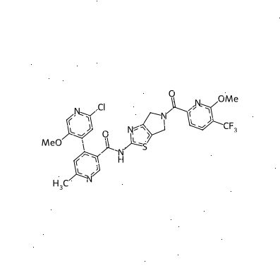 COc1cnc(Cl)cc1-c1cc(C)ncc1C(=O)Nc1nc2c(s1)CN(C(=O)c1ccc(C(F)(F)F)c(OC)n1)C2